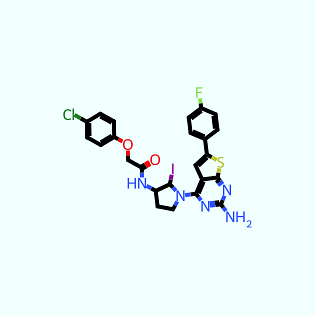 Nc1nc(N2CCC(NC(=O)COc3ccc(Cl)cc3)C2I)c2cc(-c3ccc(F)cc3)sc2n1